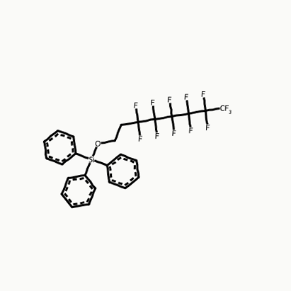 FC(F)(F)C(F)(F)C(F)(F)C(F)(F)C(F)(F)C(F)(F)CCO[Si](c1ccccc1)(c1ccccc1)c1ccccc1